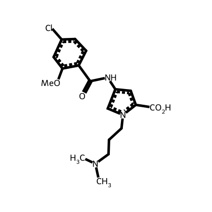 COc1cc(Cl)ccc1C(=O)Nc1cc(C(=O)O)n(CCCN(C)C)c1